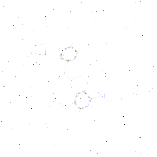 N#CCNc1nc(Cl)c(C#N)c2c1CCN(Cc1ccc(F)nc1OC1CCC1)C2